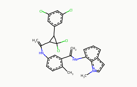 C=C(Nc1cccc2ccn(C)c12)c1cc(NC(=C)C2C(c3cc(Cl)cc(Cl)c3)C2(Cl)Cl)ccc1C